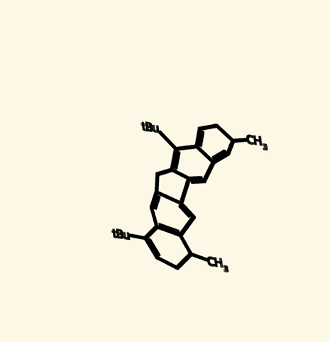 CC1C=c2cc3c(c(C(C)(C)C)c2=CC1)Cc1cc2c(cc1-3)C(C)CC=C2C(C)(C)C